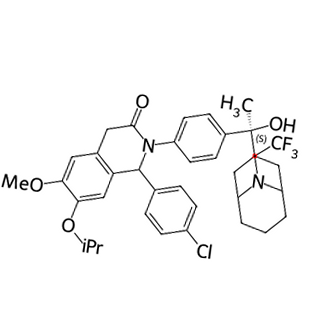 COc1cc2c(cc1OC(C)C)C(c1ccc(Cl)cc1)N(c1ccc([C@@](C)(O)C3CC4CCCC(C3)N4CC(F)(F)F)cc1)C(=O)C2